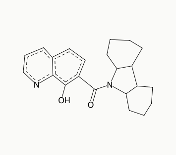 O=C(c1ccc2cccnc2c1O)N1C2CCCCC2C2CCCCC21